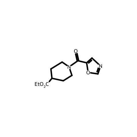 CCOC(=O)C1CCN(C(=O)c2cnco2)CC1